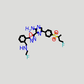 CC(CCF)S(=O)(=O)c1ccc(-c2cnc(N)c(-c3nnc(-c4ccccc4CNCCF)o3)n2)cc1